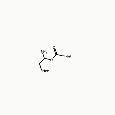 CCCCCCCC(N)OC(=O)CCCCC